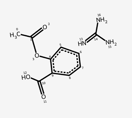 CC(=O)Oc1ccccc1C(=O)O.N=C(N)N